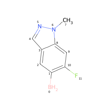 Bc1cc2cnn(C)c2cc1F